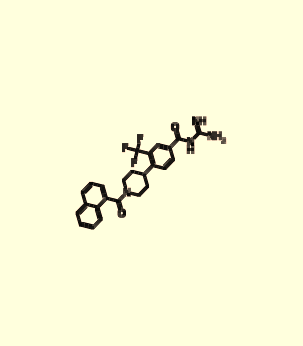 N=C(N)NC(=O)c1ccc(C2CCN(C(=O)c3cccc4ccccc34)CC2)c(C(F)(F)F)c1